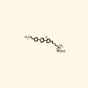 C=CCc1ccc(-c2ncc(-c3ccc(C=CCCCC(C)OCCCCC)cc3F)cn2)cc1